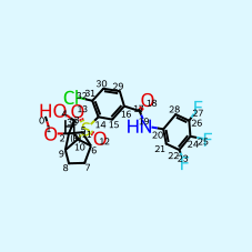 COC1(CO)CC2CCC1[C@@H]2S(=O)(=O)c1cc(C(=O)Nc2cc(F)c(F)c(F)c2)ccc1Cl